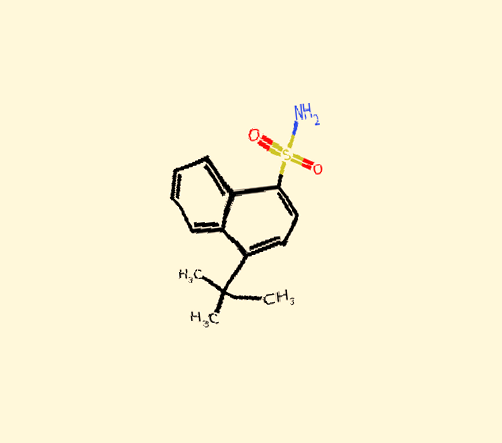 CC(C)(C)c1ccc(S(N)(=O)=O)c2ccccc12